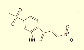 CS(=O)(=O)c1ccc2c(/C=C/[N+](=O)[O-])c[nH]c2c1